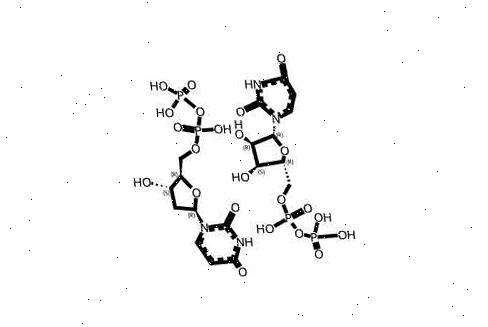 O=c1ccn([C@@H]2O[C@H](COP(=O)(O)OP(=O)(O)O)[C@@H](O)[C@H]2O)c(=O)[nH]1.O=c1ccn([C@H]2C[C@H](O)[C@@H](COP(=O)(O)OP(=O)(O)O)O2)c(=O)[nH]1